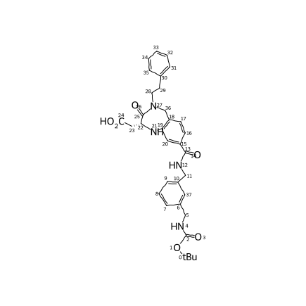 CC(C)(C)OC(=O)NCc1cccc(CNC(=O)c2ccc3c(c2)N[C@H](CC(=O)O)C(=O)N(CCc2ccccc2)C3)c1